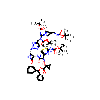 CC(C)(C)OC(=O)N=C(N1CC(CNC(=O)OC(C)(C)C)C1)N(Cc1cnn(C[C@H]2NC(=O)[C@H]2NC(=O)C(=NOC2(C(=O)OC(c3ccccc3)c3ccccc3)CC2)c2csc(NC(=O)OC(C)(C)C)n2)n1)C(=O)OC(C)(C)C